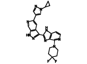 FC1(F)CCN(c2nccc3[nH]c(-c4n[nH]c5cnc(-c6cnn(C7CC7)c6)cc45)nc23)CC1